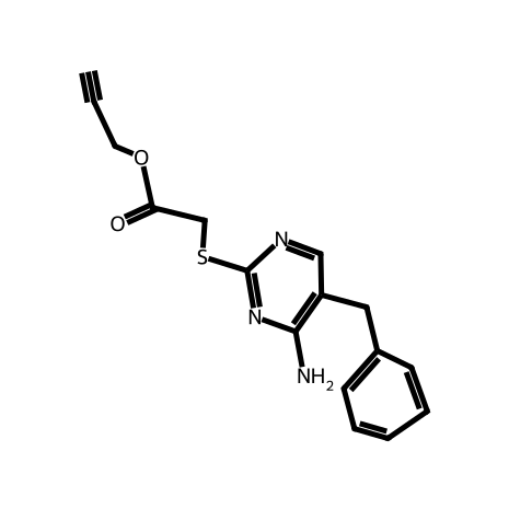 C#CCOC(=O)CSc1ncc(Cc2ccccc2)c(N)n1